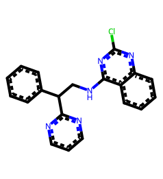 Clc1nc(NCC(c2ccccc2)c2ncccn2)c2ccccc2n1